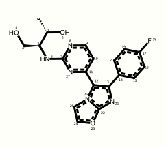 C[C@H](O)[C@H](CO)Nc1nccc(-c2c(-c3ccc(F)cc3)nc3occn23)n1